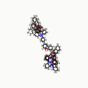 C1=CC2=C(CC1)c1ccc(N(c3ccc(-c4ccc5oc6cc(-c7c8ccccc8cc8c7oc7c(-c9ccccc9N(c9ccccc9-n9c%10ccccc%10c%10ccccc%109)c9ccccc9-n9c%10ccccc%10c%10ccccc%109)cccc78)ccc6c5c4)cc3)c3ccccc3-c3cccc4c3oc3cc5ccccc5cc34)cc1C21c2ccccc2-c2ccccc21